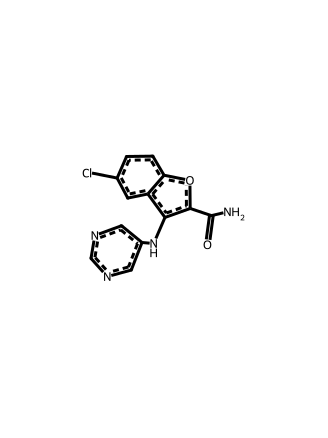 NC(=O)c1oc2ccc(Cl)cc2c1Nc1cncnc1